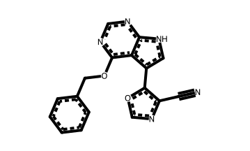 N#Cc1ncoc1-c1c[nH]c2ncnc(OCc3ccccc3)c12